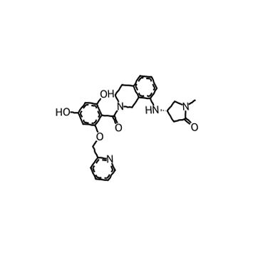 CN1C[C@@H](Nc2cccc3c2CN(C(=O)c2c(O)cc(O)cc2OCc2ccccn2)CC3)CC1=O